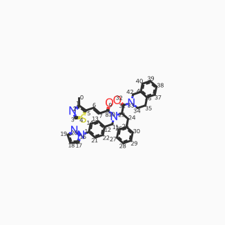 Cc1ncsc1C=CC(=O)N(Cc1ccc(-n2cccn2)cc1)C(Cc1ccccc1)C(=O)N1CCc2ccccc2C1